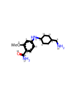 COc1cc(NC2CCC(CN)CC2)ccc1C(N)=O